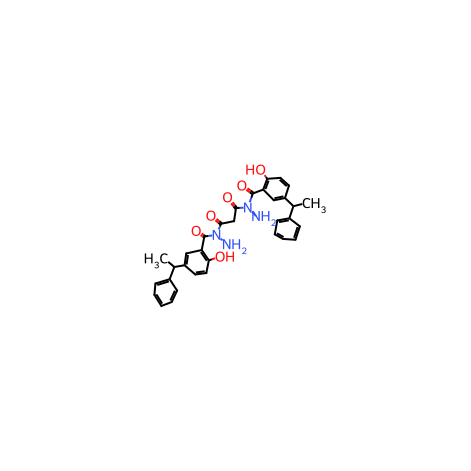 CC(c1ccccc1)c1ccc(O)c(C(=O)N(N)C(=O)CC(=O)N(N)C(=O)c2cc(C(C)c3ccccc3)ccc2O)c1